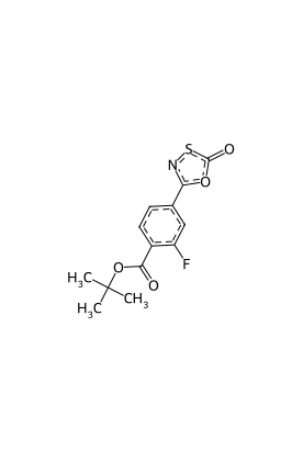 CC(C)(C)OC(=O)c1ccc(-c2nsc(=O)o2)cc1F